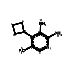 Nc1ncc(C(F)(F)F)c(C2CCC2)c1N